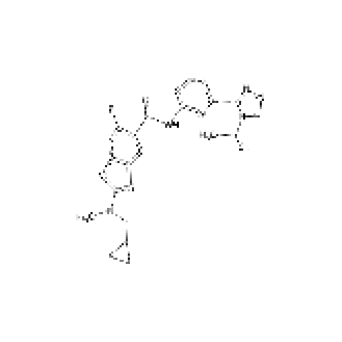 CC(C)n1cnnc1-c1cccc(NC(=O)c2cc3sc(N(C)CC4CC4)nc3cc2F)n1